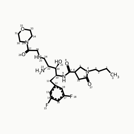 CCCCN1CC(C(=O)N[C@@H](Cc2cc(F)cc(F)c2)[C@H](O)[C@H](N)CNCC(=O)N2CCOCC2)CC1=O